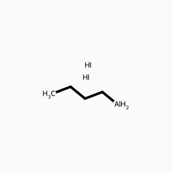 CCC[CH2][AlH2].I.I